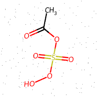 CC(=O)OS(=O)(=O)OO